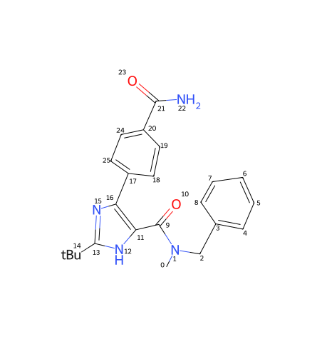 CN(Cc1ccccc1)C(=O)c1[nH]c(C(C)(C)C)nc1-c1ccc(C(N)=O)cc1